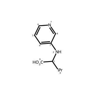 CC(C)C(Nc1cccnc1)C(=O)O